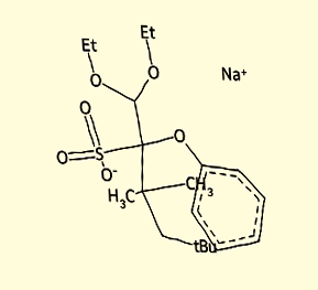 CCOC(OCC)C(Oc1ccccc1)(C(C)(C)CC(C)(C)C)S(=O)(=O)[O-].[Na+]